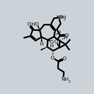 CC1=C[C@H]2[C@@]3(O)[C@H](C)[C@@H](OC(=O)CCN)[C@]4(OC(=O)CCN)[C@@H]([C@@H]3C=C(CO)C[C@@]2(O)C1=O)C4(C)C